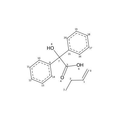 C=CCC.O=C(O)C(O)(c1ccccc1)c1ccccc1